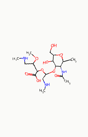 CNCC(OC(C(=O)O)C(CNC)OC)OC1C(O)C(CO)OC(C)C1NC(C)=O